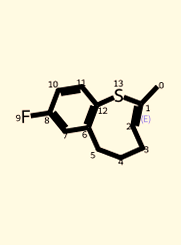 C/C1=C\CCCc2cc(F)ccc2S1